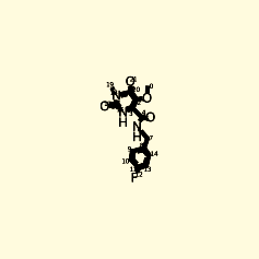 COc1c(C(=O)NCc2ccc(F)cc2)[nH]c(=O)n(C)c1=O